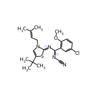 COc1ccc(Cl)cc1C(/N=c1\sc(C(C)(C)C)cn1CC=C(C)C)=N\C#N